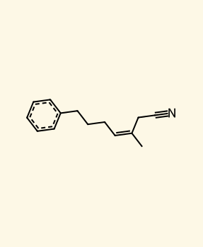 CC(=CCCCc1ccccc1)CC#N